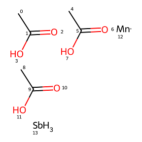 CC(=O)O.CC(=O)O.CC(=O)O.[Mn].[SbH3]